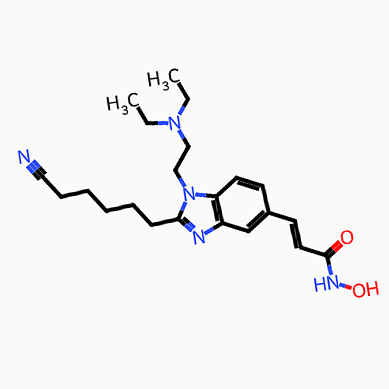 CCN(CC)CCn1c(CCCCCC#N)nc2cc(C=CC(=O)NO)ccc21